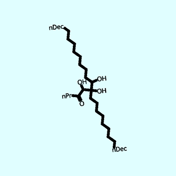 CCCCCCCCCCCCCCCCCCC(O)C(O)(CCCCCCCCCCCCCCCCCC)C(O)C(=O)CCC